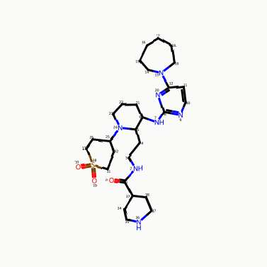 O=C(NCCC1C(Nc2nccc(N3CCCCCC3)n2)CCCN1C1CCS(=O)(=O)CC1)C1CCNCC1